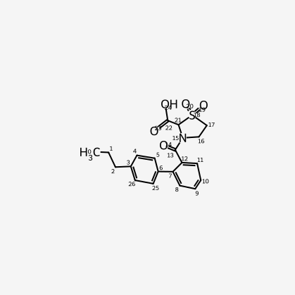 CCCc1ccc(-c2ccccc2C(=O)N2CCS(=O)(=O)C2C(=O)O)cc1